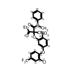 CCC(=O)C(C#N)(Oc1cc(Oc2ccc(C(F)(F)F)cc2Cl)ccc1[N+](=O)[O-])C(=O)N(C)c1ccccc1